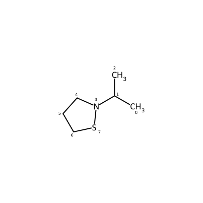 CC(C)N1CCCS1